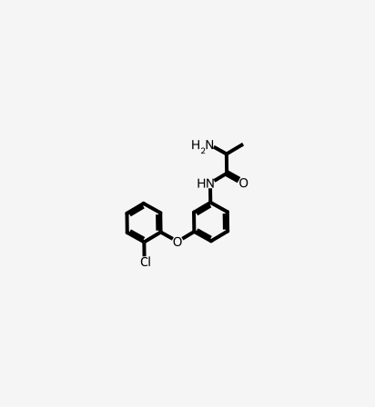 CC(N)C(=O)Nc1cccc(Oc2ccccc2Cl)c1